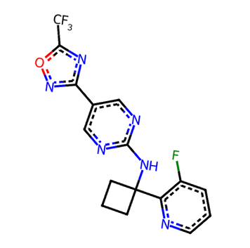 Fc1cccnc1C1(Nc2ncc(-c3noc(C(F)(F)F)n3)cn2)CCC1